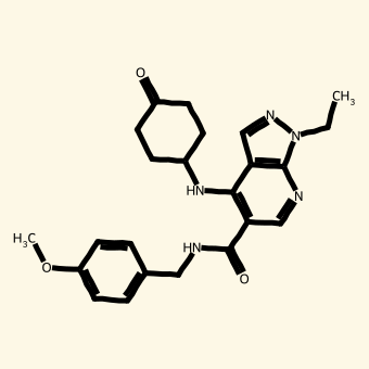 CCn1ncc2c(NC3CCC(=O)CC3)c(C(=O)NCc3ccc(OC)cc3)cnc21